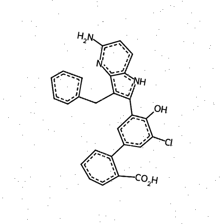 Nc1ccc2[nH]c(-c3cc(-c4ccccc4C(=O)O)cc(Cl)c3O)c(Cc3ccccc3)c2n1